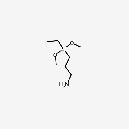 CC[Si](CCCN)(OC)OC